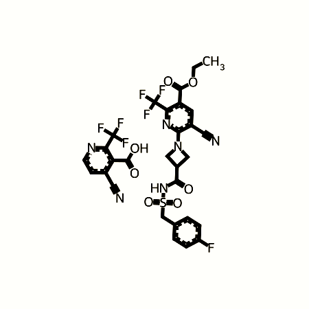 CCOC(=O)c1cc(C#N)c(N2CC(C(=O)NS(=O)(=O)Cc3ccc(F)cc3)C2)nc1C(F)(F)F.N#Cc1ccnc(C(F)(F)F)c1C(=O)O